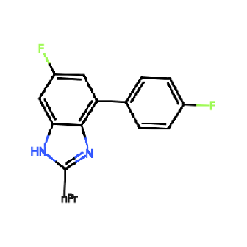 CCCc1nc2c(-c3ccc(F)cc3)cc(F)cc2[nH]1